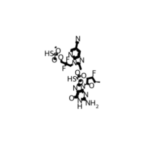 COP(=O)(S)OCC(F)(F)Cn1c(COP(=O)(S)O[C@@H]2[C@H](F)[C@@H](C)O[C@H]2n2cnc3c(=O)[nH]c(N)nc32)nc2cc(C#N)cnc21